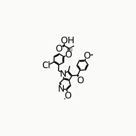 COc1ccc(C(=O)c2c(C)n(Cc3cc(O[C@H](C)C(=O)O)ccc3Cl)c3cnc(OC)cc23)cc1